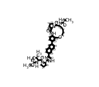 COC(=O)N[C@H]1CCCCOCc2cc(-c3ccc4cc(-c5c[nH]c([C@@H]6CCCN6C(=O)[C@@H](NC(=O)OC)C(C)C)n5)ccc4c3)ccc2NC(=O)[C@@H]2CCCN2C1=O